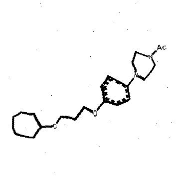 CC(=O)N1CCN(c2ccc(OCCCOC3CCCCC3)cc2)CC1